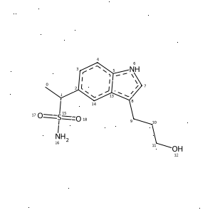 CC(c1ccc2[nH]cc(CCCO)c2c1)S(N)(=O)=O